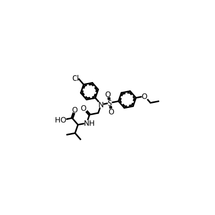 CCOc1ccc(S(=O)(=O)N(CC(=O)NC(C(=O)O)C(C)C)c2ccc(Cl)cc2)cc1